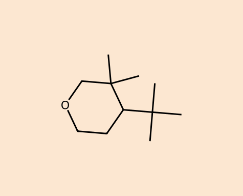 CC(C)(C)C1CCOCC1(C)C